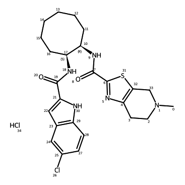 CN1CCc2nc(C(=O)N[C@@H]3CCCCCC[C@@H]3NC(=O)c3cc4cc(Cl)ccc4[nH]3)sc2C1.Cl